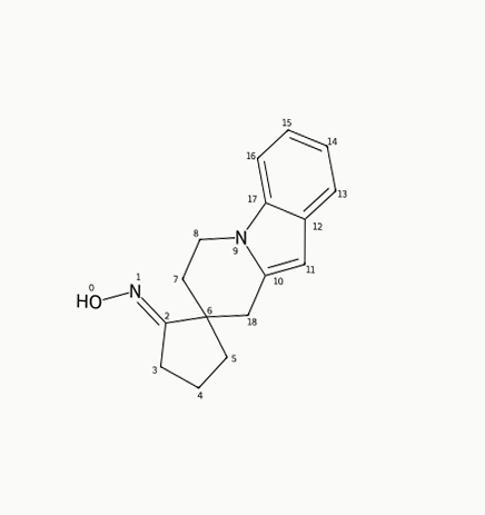 ON=C1CCCC12CCn1c(cc3ccccc31)C2